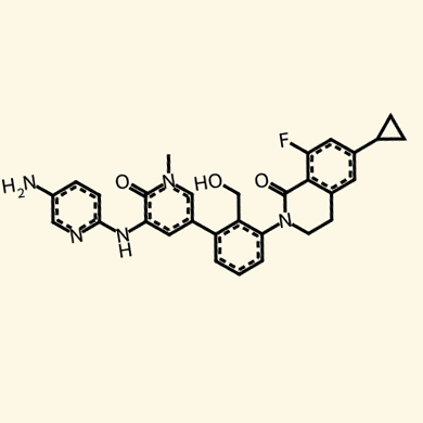 Cn1cc(-c2cccc(N3CCc4cc(C5CC5)cc(F)c4C3=O)c2CO)cc(Nc2ccc(N)cn2)c1=O